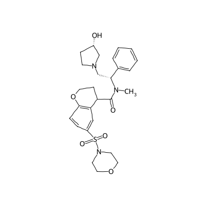 CN(C(=O)C1CCOc2ccc(S(=O)(=O)N3CCOCC3)cc21)[C@H](CN1CC[C@H](O)C1)c1ccccc1